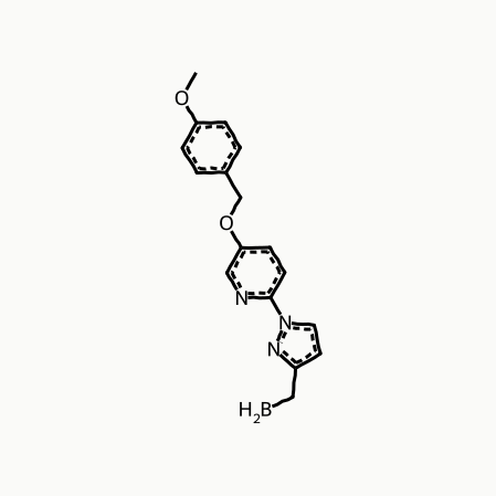 BCc1ccn(-c2ccc(OCc3ccc(OC)cc3)cn2)n1